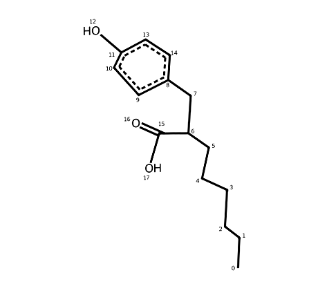 CCCCCCC(Cc1ccc(O)cc1)C(=O)O